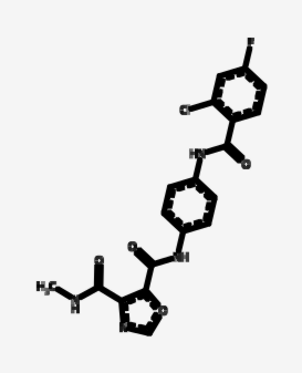 CNC(=O)c1ncoc1C(=O)Nc1ccc(NC(=O)c2ccc(F)cc2Cl)cc1